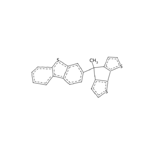 CC1(c2ccc3c(c2)sc2ccccc23)c2ccsc2-c2sccc21